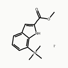 COC(=O)c1cc2cccc([N+](C)(C)C)c2[nH]1.[I-]